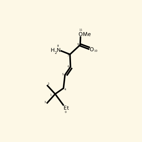 CCC(C)(C)C/C=C/C(N)C(=O)OC